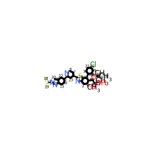 Cc1cc2nc(-c3ccnc(-c4ccc5nn(C(F)F)cc5c4)c3)sc2c(-c2ccc(Cl)cc2)c1[C@H](OC(C)(C)C)C(=O)O